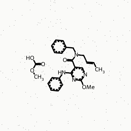 C/C=C/CN(Cc1ccccc1)C(=O)c1cnc(OC)nc1Nc1ccccc1.COC(=O)O